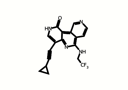 O=c1[nH]cc(C#CC2CC2)c2nc(NCC(F)(F)F)c3ccncc3c12